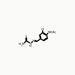 CC(=O)Nc1ccc(/C=N/NC(N)=S)cc1Cl